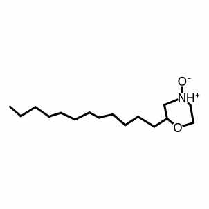 CCCCCCCCCCCCC1C[NH+]([O-])CCO1